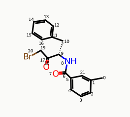 Cc1cccc(C(=O)N[C@@H](Cc2ccccc2)C(=O)CBr)c1